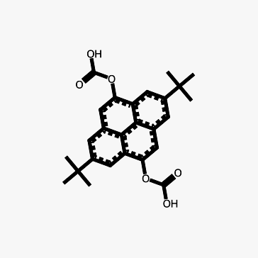 CC(C)(C)c1cc2cc(OC(=O)O)c3cc(C(C)(C)C)cc4cc(OC(=O)O)c(c1)c2c43